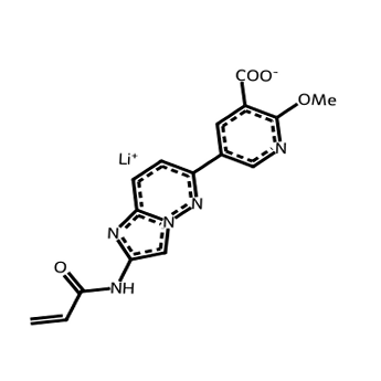 C=CC(=O)Nc1cn2nc(-c3cnc(OC)c(C(=O)[O-])c3)ccc2n1.[Li+]